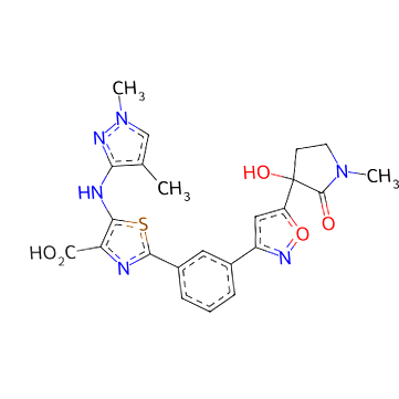 Cc1cn(C)nc1Nc1sc(-c2cccc(-c3cc(C4(O)CCN(C)C4=O)on3)c2)nc1C(=O)O